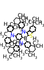 Cc1ccccc1N(c1cc2c3c(c1)N(c1ccc4c(c1)C(C)(C)CCC4(C)C)c1c(sc4ccc(C(C)(C)C)cc14)B3c1cc3c(cc1N2c1ccc2c(c1)C(C)(C)CCC2(C)C)C(C)(C)CCC3(C)C)c1ccccc1C